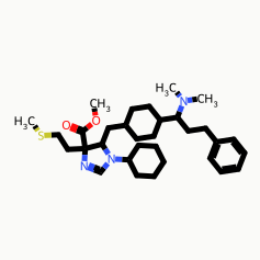 COC(=O)C1(CCSC)N=CN(C2CCCCC2)C1CC1CCC(C(CCc2ccccc2)N(C)C)CC1